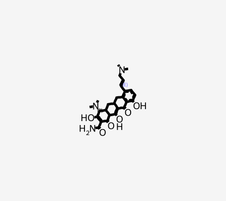 CN(C)C/C=C/c1ccc(O)c2c1CC1CC3C(C(=O)C(C(N)=O)=C(O)[C@@H]3N(C)C)C(O)=C1C2=O